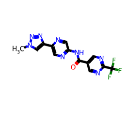 Cn1[c]c(-c2cnc(NC(=O)c3cnc(C(F)(F)F)nc3)cn2)nn1